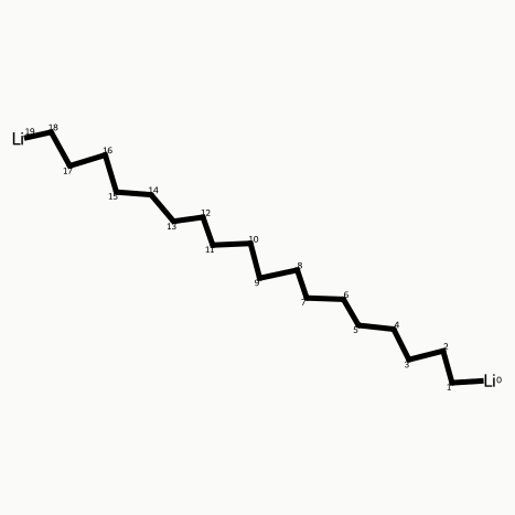 [Li][CH2]CCCCCCCCCCCCCCCC[CH2][Li]